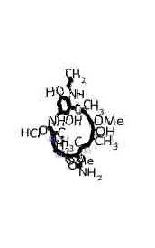 C=CCNC1=C2C[C@@H](C)C[C@H](OC)[C@H](O)[C@@H](C)/C=C(\C)[C@H](OC(N)=O)[C@@H](OC)/C=C\C=C(/C)C(=O)NC(=CC1O)C2O.Cl